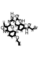 C=CCOc1ccc(-c2noc(C)c2C(=O)N=C(N)N(Cc2ccc(NC(=O)CBr)cc2)C(=O)O)cc1